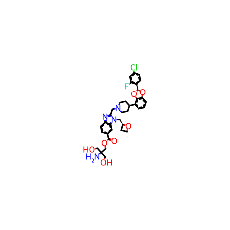 NC(CO)(CO)COC(=O)c1ccc2nc(CN3CCC(c4cccc5c4O[C@@H](c4ccc(Cl)cc4F)O5)CC3)n(C[C@@H]3CCO3)c2c1